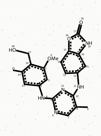 COc1cc(Nc2ncc(C)c(Nc3ccc4oc(=O)[nH]c4c3)n2)cc(C)c1CO